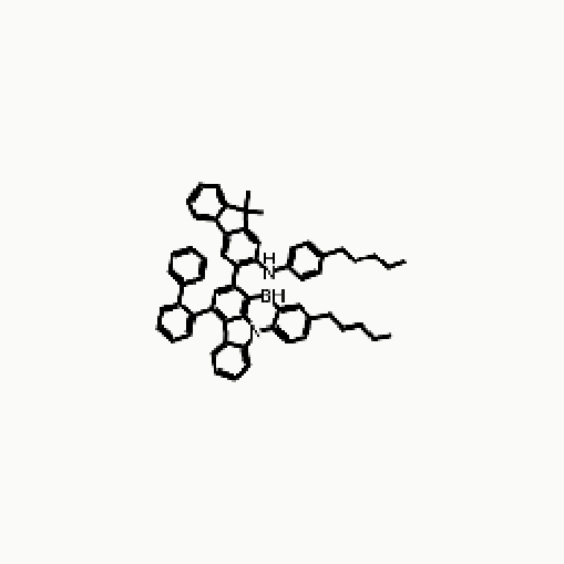 CCCCCc1ccc(Nc2cc3c(cc2-c2cc(-c4ccccc4-c4ccccc4)c4c5ccccc5n5c4c2Bc2cc(CCCCC)ccc2-5)-c2ccccc2C3(C)C)cc1